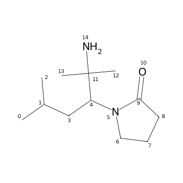 CC(C)CC(N1CCCC1=O)C(C)(C)N